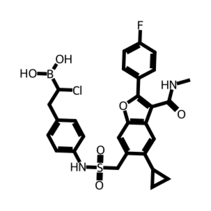 CNC(=O)c1c(-c2ccc(F)cc2)oc2cc(CS(=O)(=O)Nc3ccc(CC(Cl)B(O)O)cc3)c(C3CC3)cc12